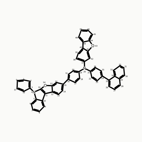 c1ccc(-n2c3ccccc3c3c4ccc(-c5ccc(N(c6ccc(-c7cccc8ccccc78)cc6)c6ccc7c(c6)oc6ccccc67)cc5)cc4oc32)cc1